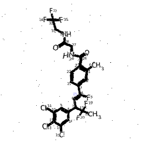 Cc1cc(/C(F)=C/C(c2cc(Cl)c(Cl)c(Cl)c2)C(C)(F)F)ccc1C(=O)NCC(=O)NCC(F)(F)F